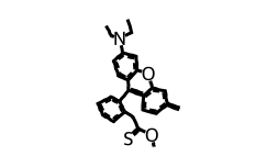 C=c1ccc2c(c1)Oc1cc(N(CC)CC)ccc1C=2c1ccccc1CC(=S)OC